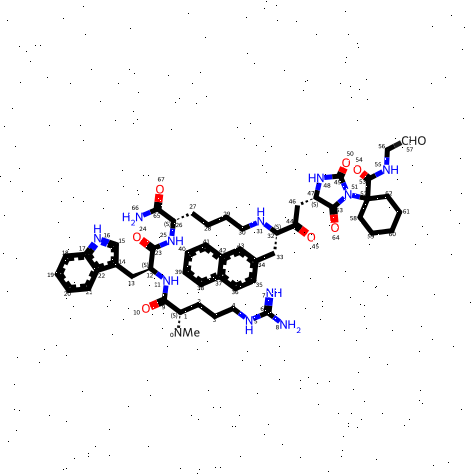 CN[C@@H](CCCNC(=N)N)C(=O)N[C@@H](Cc1c[nH]c2ccccc12)C(=O)N[C@@H](CCCCN[C@@H](Cc1ccc2ccccc2c1)C(=O)C[C@@H]1NC(=O)N(C2(C(=O)NCC=O)CCCCC2)C1=O)C(N)=O